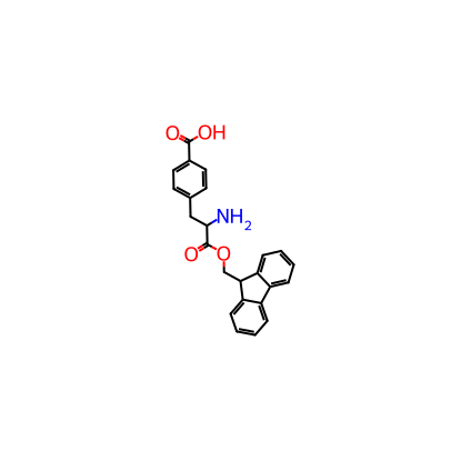 NC(Cc1ccc(C(=O)O)cc1)C(=O)OCC1c2ccccc2-c2ccccc21